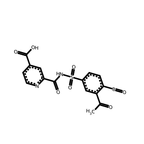 CC(=O)c1cc(S(=O)(=O)NC(=O)c2cc(C(=O)O)ccn2)ccc1B=O